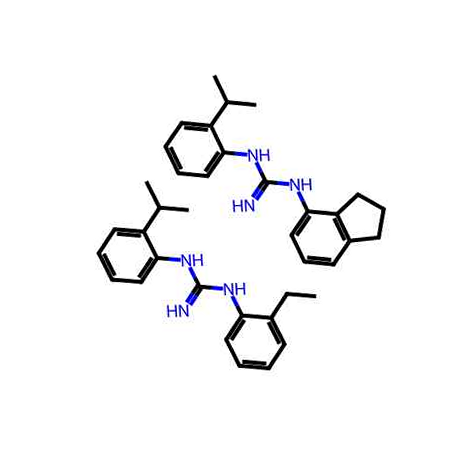 CC(C)c1ccccc1NC(=N)Nc1cccc2c1CCC2.CCc1ccccc1NC(=N)Nc1ccccc1C(C)C